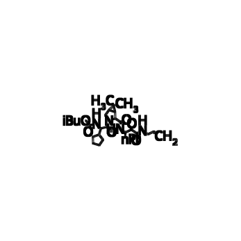 C=CCNC(=O)C(=O)C(CCC)NC(=O)C1C2C(CN1C(=O)C(NC(=O)OCC(C)C)C1CCCC1)C2(C)C